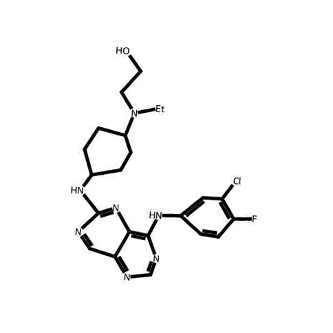 CCN(CCO)C1CCC(Nc2ncc3ncnc(Nc4ccc(F)c(Cl)c4)c3n2)CC1